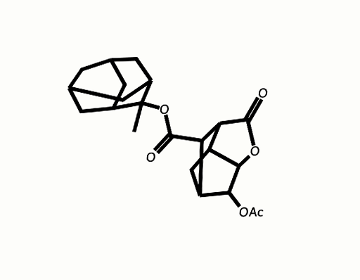 [CH2]C(=O)OC1C2CC3C1OC(=O)C3C2C(=O)OC1(C)C2CC3CC(C2)CC1C3